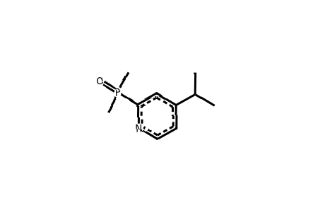 CC(C)c1ccnc(P(C)(C)=O)c1